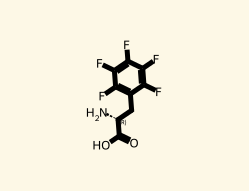 N[C@H](Cc1c(F)c(F)c(F)c(F)c1F)C(=O)O